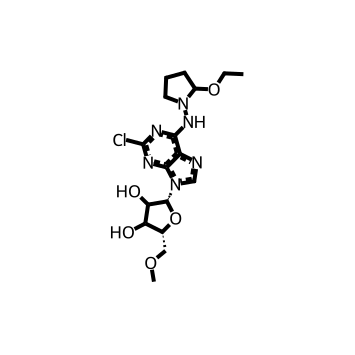 CCOC1CCCN1Nc1nc(Cl)nc2c1ncn2[C@@H]1O[C@H](COC)C(O)C1O